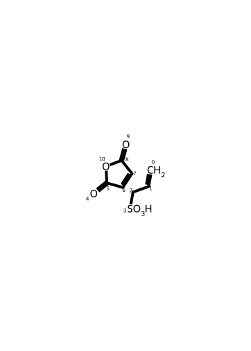 C=CCS(=O)(=O)O.O=C1C=CC(=O)O1